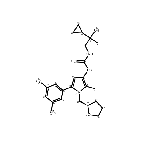 Cc1c(OC(=O)NCC(C)(O)C2CC2)cc(-c2cc(C(F)(F)F)cc(C(F)(F)F)c2)n1C[C@H]1CCCO1